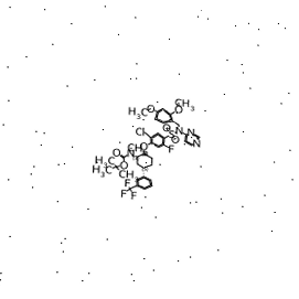 COc1ccc(CN(c2ccncn2)S(=O)(=O)c2cc(Cl)c(O[C@H]3CC[C@H](c4cccc(C(F)(F)F)c4)C[C@@H]3N(C)C(=O)OC(C)(C)C)cc2F)c(OC)c1